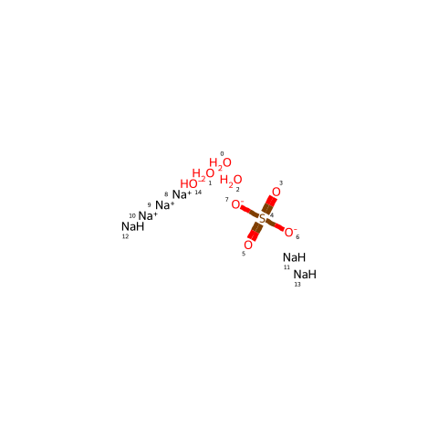 O.O.O.O=S(=O)([O-])[O-].[Na+].[Na+].[Na+].[NaH].[NaH].[NaH].[OH-]